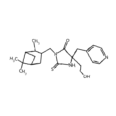 CC1C(CN2C(=O)C(CCO)(Cc3ccncc3)NC2=S)CC2CC1C2(C)C